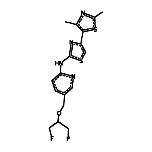 Cc1nc(C)c(-c2csc(Nc3ccc(COC(CF)CF)cn3)n2)s1